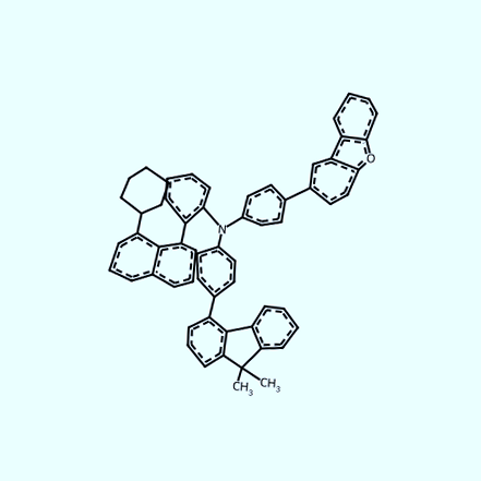 CC1(C)c2ccccc2-c2c(-c3ccc(N(c4ccc(-c5ccc6oc7ccccc7c6c5)cc4)c4ccccc4-c4cccc5cccc(C6CCCCC6)c45)cc3)cccc21